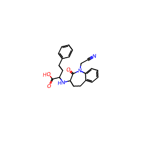 N#CCN1C(=O)C(NC(CCc2ccccc2)C(=O)O)CCc2ccccc21